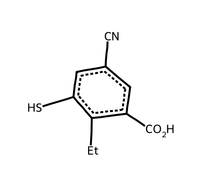 CCc1c(S)cc(C#N)cc1C(=O)O